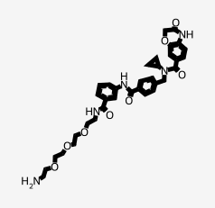 NCCOCCOCCOCCNC(=O)c1cccc(NC(=O)c2ccc(CN(C(=O)c3ccc4c(c3)OCC(=O)N4)C3CC3)cc2)c1